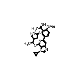 CNc1ccc(-c2cc3ncn(C4CC4)c3c(OC(C)C3CNC(=O)C3)n2)cc1C(C)=N